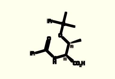 CC(C)C(=O)N[C@H](C(=O)O)[C@@H](C)O[Si](C)(C)C(C)C